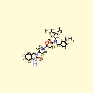 Cc1cccc(C2SC(CC(=O)N3CCC(N4Cc5ccccc5NC4=O)CC3)C(=O)N2CCC(C)C)c1